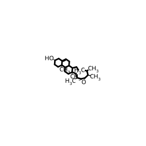 CC(C)[C@@H](C)[C@@H]1O[C@H]1[C@@H](C)[C@H]1CCC2C3CC=C4C[C@@H](O)CC[C@]4(C)C3CC[C@@]21C